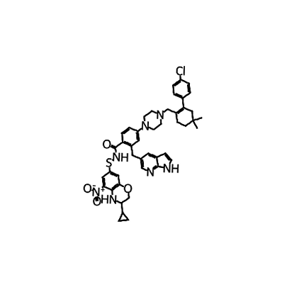 CC1(C)CCC(CN2CCN(c3ccc(C(=O)NSc4cc5c(c([N+](=O)[O-])c4)NC(C4CC4)CO5)c(Cc4cnc5[nH]ccc5c4)c3)CC2)=C(c2ccc(Cl)cc2)C1